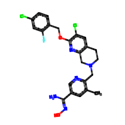 Cc1cc(/C(N)=N/O)cnc1CN1CCc2cc(Cl)c(OCc3ccc(Cl)cc3F)nc2C1